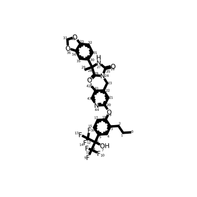 CCCc1cc(C(O)(C(F)(F)F)C(F)(F)F)ccc1Oc1cc(CN2C(=O)NC(C)(c3ccc4c(c3)OCO4)C2=O)c(I)cn1